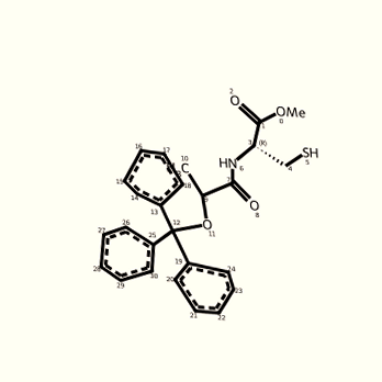 COC(=O)[C@H](CS)NC(=O)C(C)OC(c1ccccc1)(c1ccccc1)c1ccccc1